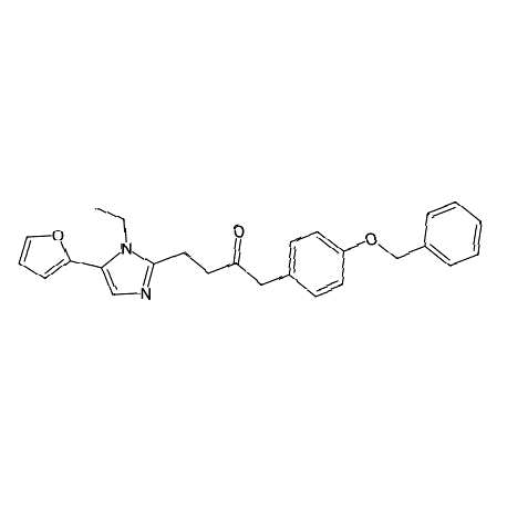 CCn1c(-c2ccco2)cnc1CCC(=O)Cc1ccc(OCc2ccccc2)cc1